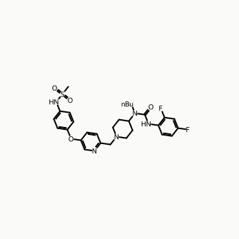 CCCCN(C(=O)Nc1ccc(F)cc1F)C1CCN(Cc2ccc(Oc3ccc(NS(C)(=O)=O)cc3)cn2)CC1